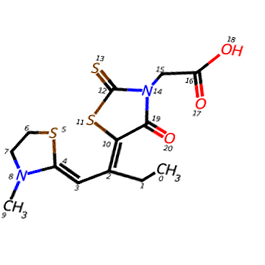 CCC(C=C1SCCN1C)=C1SC(=S)N(CC(=O)O)C1=O